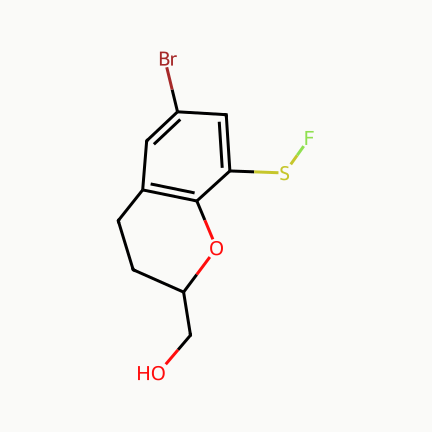 OCC1CCc2cc(Br)cc(SF)c2O1